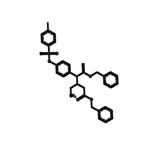 Cc1ccc(S(=O)(=O)Oc2ccc(C(C(=O)OCc3ccccc3)C(CN)CC(=O)OCc3ccccc3)cc2)cc1